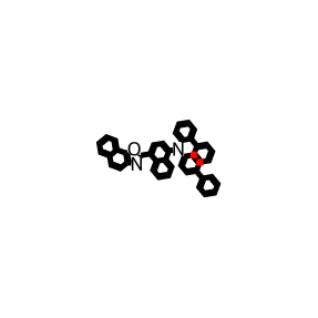 c1ccc(-c2ccc(N(c3ccccc3-c3ccccc3)c3ccc(-c4nc5ccc6ccccc6c5o4)c4ccccc34)cc2)cc1